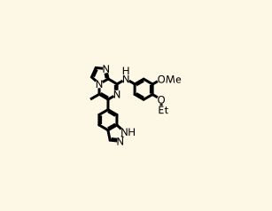 CCOc1ccc(Nc2nc(-c3ccc4cn[nH]c4c3)c(C)n3ccnc23)cc1OC